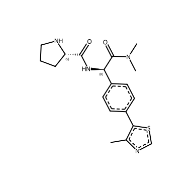 Cc1ncsc1-c1ccc([C@@H](NC(=O)[C@@H]2CCCN2)C(=O)N(C)C)cc1